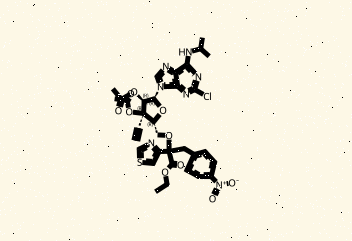 C#C[C@@]1(OC(C)=O)[C@@H](COC(Cc2ccc([N+](=O)[O-])cc2)(C(=O)OCC)c2cscn2)O[C@@H](n2cnc3c(NC(C)C)nc(Cl)nc32)[C@@H]1OC(C)=O